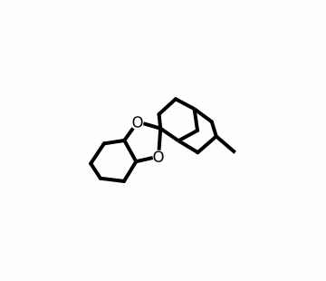 CC1CC2CCC3(OC4CCCCC4O3)C(C1)C2